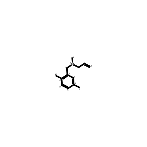 C=CCN(C)Cc1cc(C)ccc1C